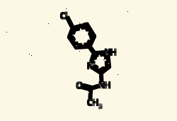 CC(=O)Nc1c[nH]c(-c2ccc(Cl)cc2)n1